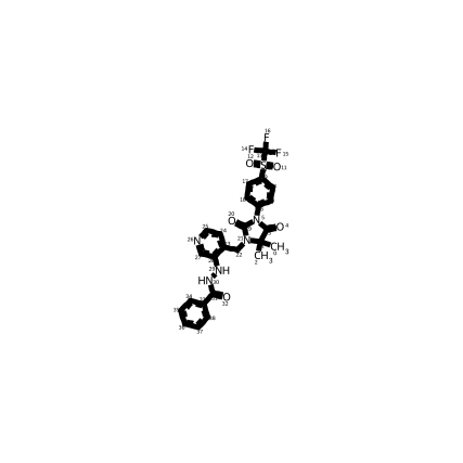 CC1(C)C(=O)N(c2ccc(S(=O)(=O)C(F)(F)F)cc2)C(=O)N1Cc1ccncc1NNC(=O)c1ccccc1